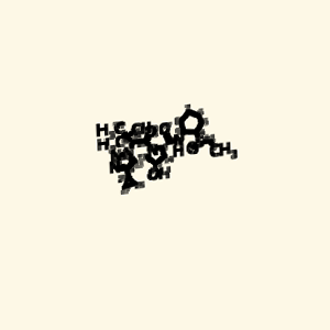 CC[S+]([O-])C1CCCCC1NC(=O)[C@@H]1C[C@@H](O)CN1C(=O)[C@@H](n1cc(C2CC2)nn1)C(C)(C)C